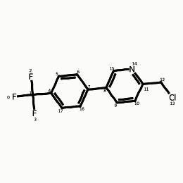 FC(F)(F)c1ccc(-c2ccc(CCl)nc2)cc1